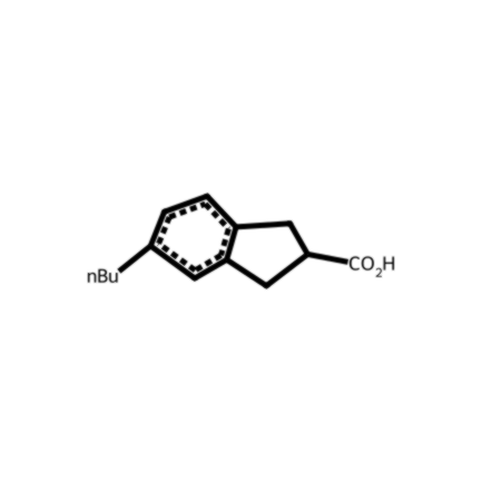 CCCCc1ccc2c(c1)CC(C(=O)O)C2